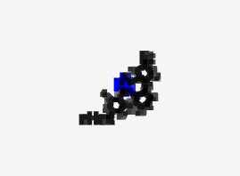 CCCCCCc1cc(C)c(-c2nnc(-c3cccc(CC)c3)n2-c2ccccc2C)c(C)c1